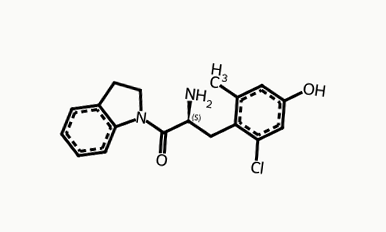 Cc1cc(O)cc(Cl)c1C[C@H](N)C(=O)N1CCc2ccccc21